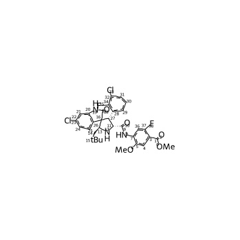 COC(=O)c1cc(OC)c(NC(=O)[C@@H]2N[C@@H](CC(C)(C)C)C3(C(=O)Nc4cc(Cl)ccc43)[C@@H]2c2cccc(Cl)c2F)cc1F